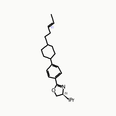 C/C=C/CCC1CCC(c2ccc(C3=N[C@@H](C(C)C)CO3)cc2)CC1